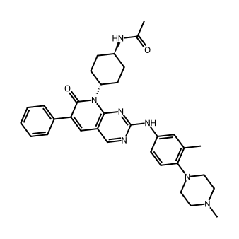 CC(=O)N[C@H]1CC[C@H](n2c(=O)c(-c3ccccc3)cc3cnc(Nc4ccc(N5CCN(C)CC5)c(C)c4)nc32)CC1